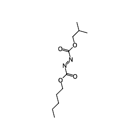 CCCCCOC(=O)N=NC(=O)OCC(C)C